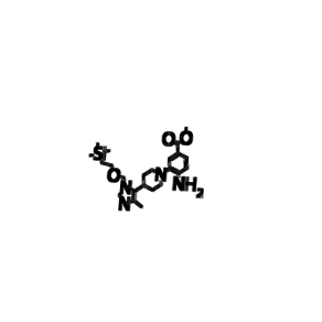 COC(=O)c1ccc(N)c(N2CCC(c3c(C)ncn3COCC[Si](C)(C)C)CC2)c1